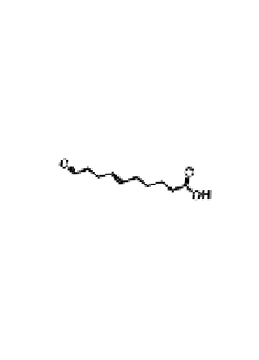 O=CCC/C=C/CCCCC(=O)O